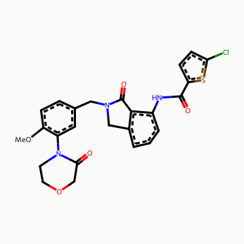 COc1ccc(CN2Cc3cccc(NC(=O)c4ccc(Cl)s4)c3C2=O)cc1N1CCOCC1=O